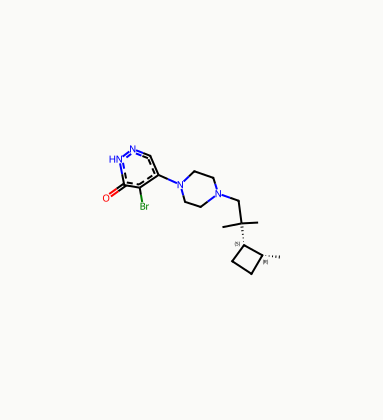 C[C@@H]1CC[C@@H]1C(C)(C)CN1CCN(c2cn[nH]c(=O)c2Br)CC1